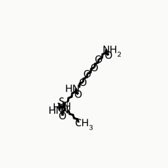 CCCCCCN1C(=O)N[C@H]2CS[C@@H](CCCCC(=O)NCCOCCOCCOCCOCCC(N)=O)[C@H]21